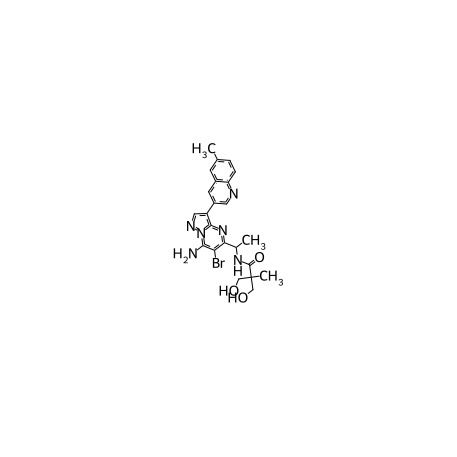 Cc1ccc2ncc(-c3cnn4c(N)c(Br)c(C(C)NC(=O)C(C)(CO)CO)nc34)cc2c1